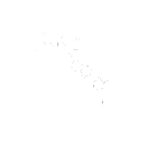 CC[C@@]1(O)C(=O)OCc2c1cc1n(c2=O)Cc2cc3cc(NC(=O)[C@H](C)NC(=O)[C@H](C)NC(=O)OC(C)(C)C)ccc3nc2-1